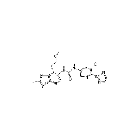 COCCc1c(NC(=O)Nc2cnc(-n3nccn3)c(Cl)c2)cnc2sc(C)nc12